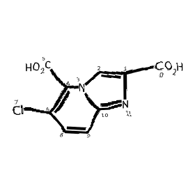 O=C(O)c1cn2c(C(=O)O)c(Cl)ccc2n1